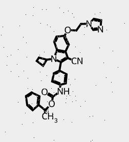 C[C@@H](OC(=O)Nc1ccc(-c2c(C#N)c3cc(OCCn4ccnc4)ccc3n2C2CCC2)cc1)c1ccccc1